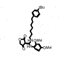 COc1ccc(NC(NCCCCCCCc2ccc(C(C)(C)C)cc2)=C2C(=O)COC2=O)c(OC)c1